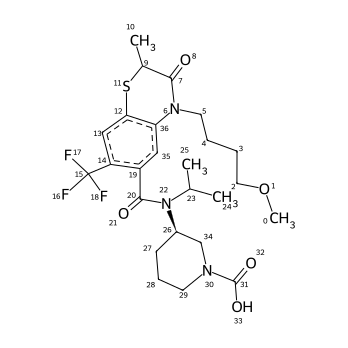 COCCCCN1C(=O)C(C)Sc2cc(C(F)(F)F)c(C(=O)N(C(C)C)[C@@H]3CCCN(C(=O)O)C3)cc21